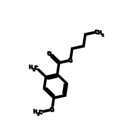 CCCCOC(=O)c1ccc(OC)cc1C